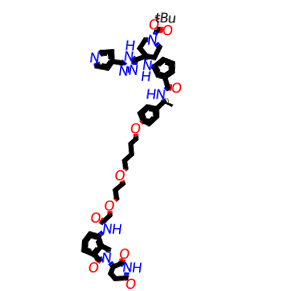 C[C@H](NC(=O)c1cccc(NC2(c3nnc(-c4ccncc4)[nH]3)CCN(C(=O)OC(C)(C)C)CC2)c1)c1ccc(OCCCCCOCCCOCC(=O)Nc2cccc3c2CN(C2CCC(=O)NC2=O)C3=O)cc1